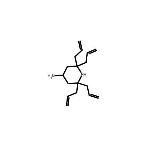 C=CCC1(CC=C)CC(N)CC(CC=C)(CC=C)N1